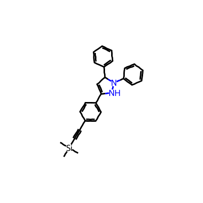 C[Si](C)(C)C#Cc1ccc(C2=CC(c3ccccc3)N(c3ccccc3)N2)cc1